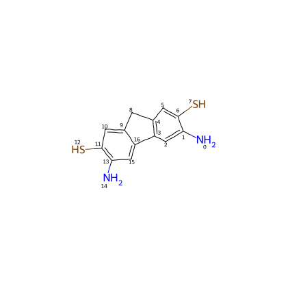 Nc1cc2c(cc1S)Cc1cc(S)c(N)cc1-2